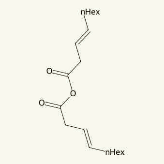 CCCCCCC=CCC(=O)OC(=O)CC=CCCCCCC